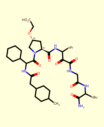 CCCCC(NC(=O)CNC(=O)C(=O)C(CCC)NC(=O)[C@@H]1C[C@@H](OCC(=O)O)CN1C(=O)C(NC(=O)CC1CCC(C)CC1)C1CCCCC1)C(N)=O